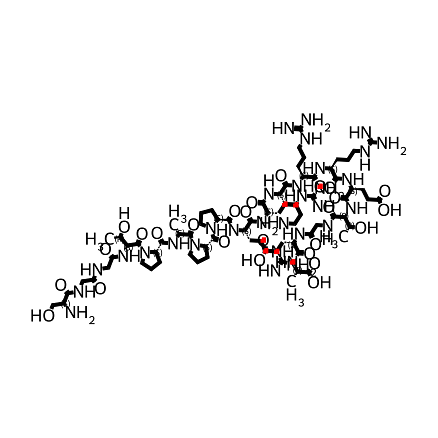 C[C@H](NC(=O)[C@H](CCC(=O)O)NC(=O)CNC(=O)[C@@H](NC(=O)[C@H](CCC(=O)O)NC(=O)[C@H](CCCNC(=N)N)NC(=O)[C@H](CCCNC(=N)N)NC(=O)[C@H](CCCCN)NC(=O)[C@H](CCCNC(=N)N)NC(=O)[C@H](CCCNC(=N)N)NC(=O)[C@@H]1CCCN1C(=O)[C@@H]1CCCN1C(=O)[C@H](C)NC(=O)[C@@H]1CCCN1C(=O)[C@@H](NC(=O)CNC(=O)CNC(=O)[C@@H](N)CO)[C@@H](C)O)[C@@H](C)O)C(=O)O